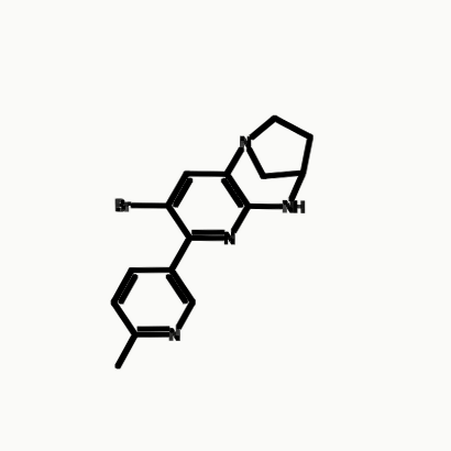 Cc1ccc(-c2nc3c(cc2Br)N2CCC(C2)N3)cn1